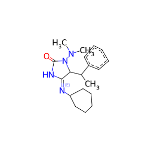 CC(c1ccccc1)C1/C(=N\C2CCCCC2)NC(=O)N1N(C)C